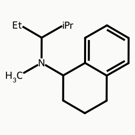 [CH2]CC(C(C)C)N(C)C1CCCc2ccccc21